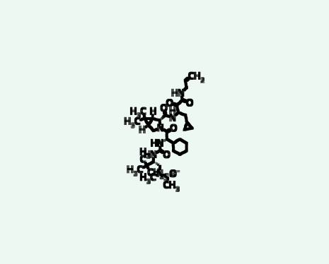 C=CCNC(=O)C(=O)C(CC1CC1)NC(=O)[C@@H]1[C@@H]2[C@H](CN1C(=O)[C@@H](NC(=O)N[C@H](CN(C)[S+](C)[O-])C(C)(C)C)C1CCCCC1)C2(C)C